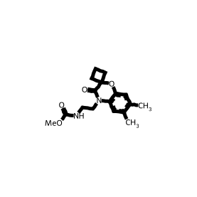 COC(=O)NCCN1C(=O)C2(CCC2)Oc2cc(C)c(C)cc21